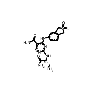 CC[C@@H](Nc1nnc(C(N)=O)c(Nc2ccc3c(c2)CS(=O)(=O)C3)n1)C(N)=O